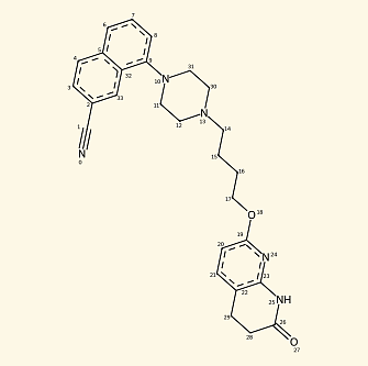 N#Cc1ccc2cccc(N3CCN(CCCCOc4ccc5c(n4)NC(=O)CC5)CC3)c2c1